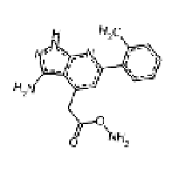 Cc1ccccc1-c1cc(CC(=O)ON)c2c(N)n[nH]c2n1